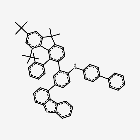 Cc1ccccc1-c1c(-c2cc(-c3cccc4oc5ccccc5c34)ccc2Nc2ccc(-c3ccccc3)cc2)ccc2c1-c1c(C(C)(C)C)cc(C(C)(C)C)cc1C2(C)C